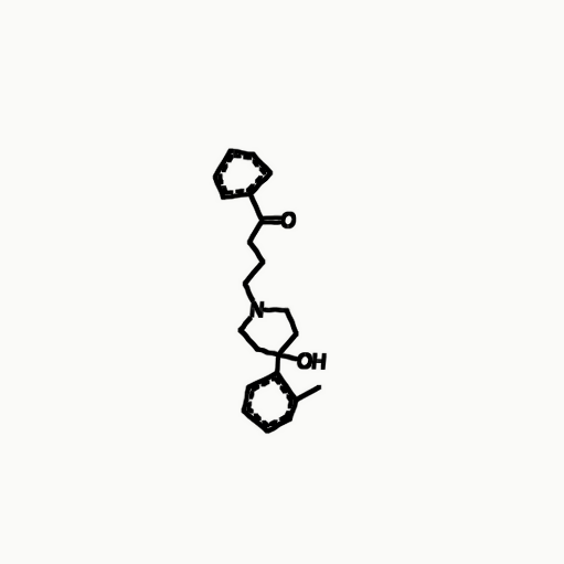 Cc1ccccc1C1(O)CCN(CCCC(=O)c2ccccc2)CC1